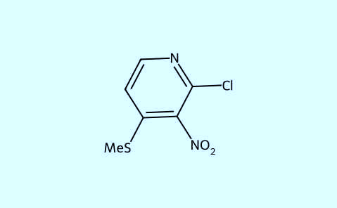 CSc1ccnc(Cl)c1[N+](=O)[O-]